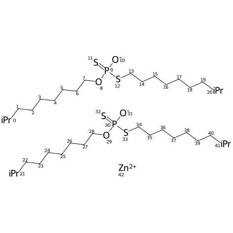 CC(C)CCCCCCCOP([O-])(=S)SCCCCCCCC(C)C.CC(C)CCCCCCCOP([O-])(=S)SCCCCCCCC(C)C.[Zn+2]